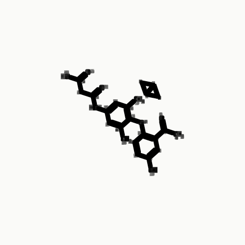 C1C2CC12.CC(=O)c1cc(O)ccc1Oc1c(C)cc(NC(=O)CC(=O)O)cc1C